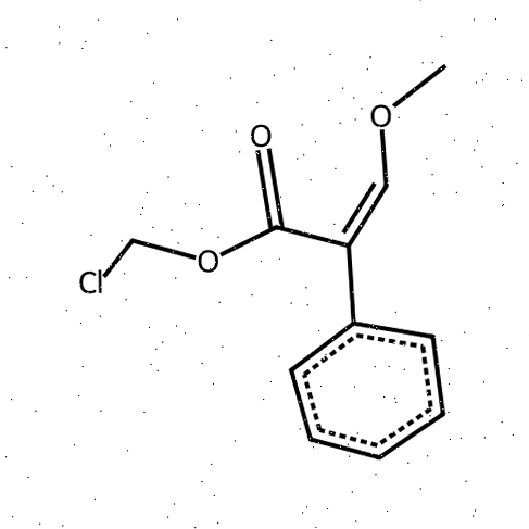 COC=C(C(=O)OCCl)c1ccccc1